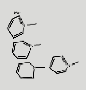 CN1[C]=CC=CC1.C[n+]1[c]cccc1.C[n+]1[c]cccc1.C[n+]1[c]cccc1.[Mn]